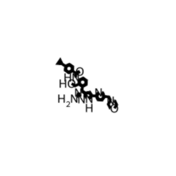 Nc1nc(-c2cccc(NC(=O)c3ccc(C4CC4)cc3)c2CO)c2cc(-c3ccc(CN4CCOCC4)cn3)[nH]c2n1